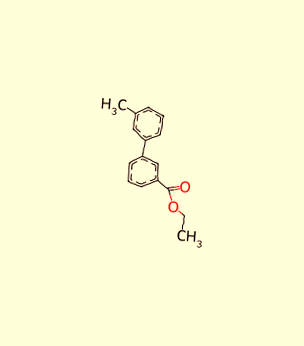 CCOC(=O)c1cccc(-c2cccc(C)c2)c1